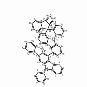 c1ccc(-n2c3ccccc3c3c(-c4cccc5c4-c4cccc6c4B5c4ccccc4C64c5ccccc5-c5ccccc54)c4oc5ccccc5c4cc32)cc1